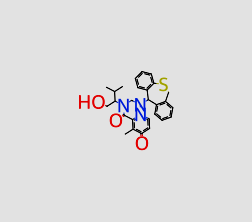 Cc1c2n(ccc1=O)N(C1c3ccccc3CSc3ccccc31)CN(C(CO)C(C)C)C2=O